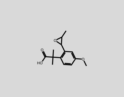 COc1ccc(C(C)(C)C(=O)O)c(C2OC2C)c1